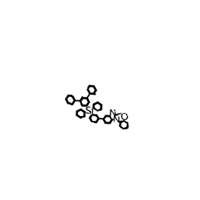 c1ccc(-c2cc(-c3ccccc3)cc([Si](c3ccccc3)(c3ccccc3)c3cccc(-c4ccc5c(c4)nc4n5-c5ccccc5OC4)c3)c2)cc1